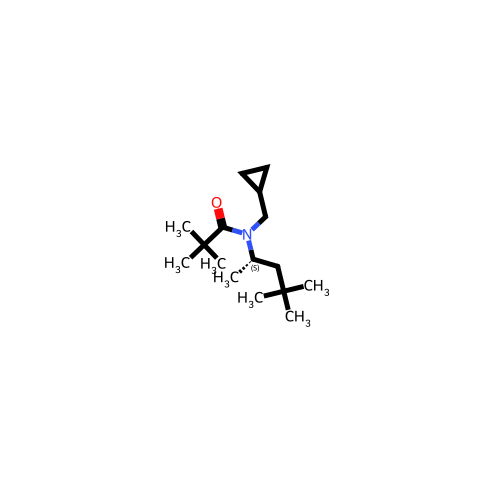 C[C@@H](CC(C)(C)C)N(CC1CC1)C(=O)C(C)(C)C